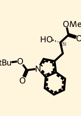 COC(=O)[C@@H](O)Cc1cn(C(=O)OC(C)(C)C)c2ccccc12